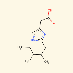 CCC(C)C(C)Cc1nc(CC(=O)O)c[nH]1